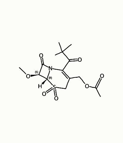 CO[C@H]1C(=O)N2C(C(=O)C(C)(C)C)=C(COC(C)=O)CS(=O)(=O)[C@H]12